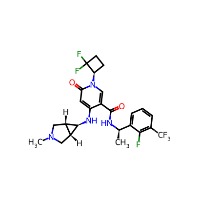 C[C@@H](NC(=O)c1cn([C@@H]2CCC2(F)F)c(=O)cc1N[C@H]1[C@@H]2CN(C)C[C@@H]21)c1cccc(C(F)(F)F)c1F